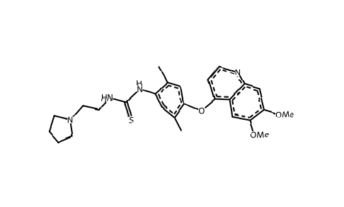 COc1cc2nccc(Oc3cc(C)c(NC(=S)NCCN4CCCC4)cc3C)c2cc1OC